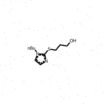 CCCCn1ccnc1SCCCO